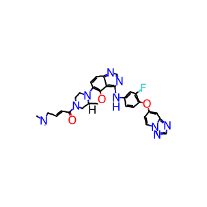 CN(C)C/C=C/C(=O)N1CCN2c3ccc4ncnc(Nc5ccc(Oc6ccn7ncnc7c6)c(F)c5)c4c3OC[C@H]2C1